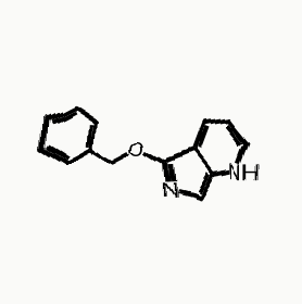 c1ccc(COc2ncc3[nH]cccc2-3)cc1